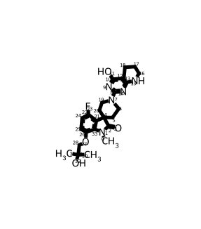 CN1C(=O)C2(CCN(c3nc(O)c4c(n3)NCCC4)CC2)c2c(F)ccc(OCC(C)(C)O)c21